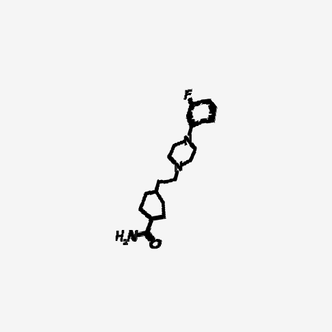 NC(=O)C1CCC(CCN2CCN(c3cccc(F)c3)CC2)CC1